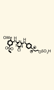 C=CS(=O)(=O)c1ccc(OC)c(Nc2nc(Cl)nc(Nc3ccc(S(=O)(=O)CCOS(=O)(=O)O)cc3)n2)c1